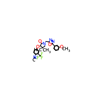 [C-]#[N+]c1ccc(OC2C(=O)N(Cc3nnc(-c4cccc(OC)c4)o3)CC2(C)C)cc1C(F)(F)F